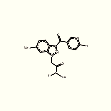 CCCCN(CC)C(=O)Cn1nc(C(=O)c2ccc(Cl)nc2)c2ccc(OC)cc21